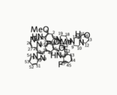 COc1cc(N2CCC(N3CCN4CCOC[C@@H]4C3)CC2)ccc1Nc1nccc(-c2c(-c3ccc(OC)c(C(=O)Nc4c(F)cccc4F)c3)nc3ccccn23)n1